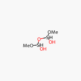 CO[SiH](O)O[SiH](O)OC